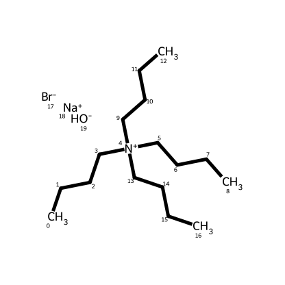 CCCC[N+](CCCC)(CCCC)CCCC.[Br-].[Na+].[OH-]